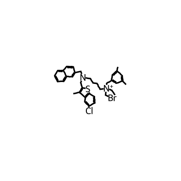 CC[N+](CBr)(CCCCN(Cc1ccc2ccccc2c1)Cc1sc2ccc(Cl)cc2c1C)Cc1cc(C)cc(C)c1